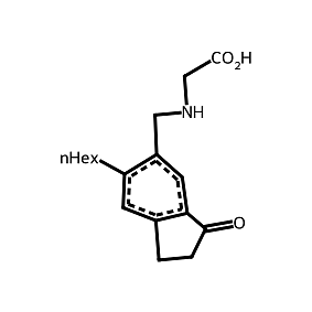 CCCCCCc1cc2c(cc1CNCC(=O)O)C(=O)CC2